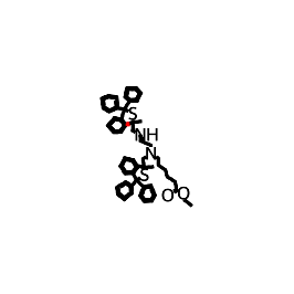 CCOC(=O)CCCCCN(CCNCC(C)(C)SC(c1ccccc1)(c1ccccc1)c1ccccc1)CC(C)(C)SC(c1ccccc1)(c1ccccc1)c1ccccc1